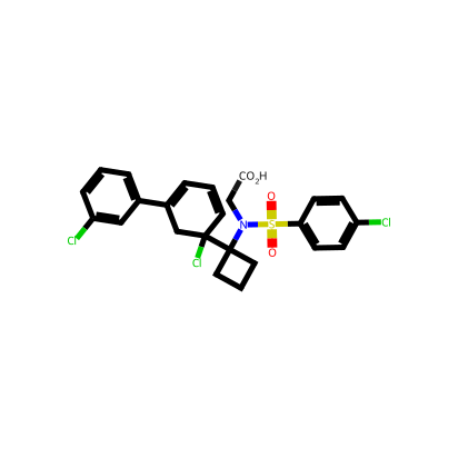 O=C(O)CN(C1(C2(Cl)C=CC=C(c3cccc(Cl)c3)C2)CCC1)S(=O)(=O)c1ccc(Cl)cc1